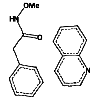 CONC(=O)Cc1ccccc1.c1ccc2ncccc2c1